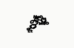 CCOc1ccc(CN2C(=O)CSC2c2c(OC)ccnc2OC)cc1